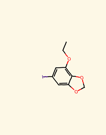 CCOc1cc(I)cc2c1OCO2